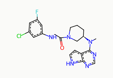 CN(c1ncnc2[nH]ccc12)[C@@H]1CCCN(C(=O)CNc2cc(F)cc(Cl)c2)C1